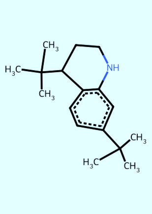 CC(C)(C)c1ccc2c(c1)NCCC2C(C)(C)C